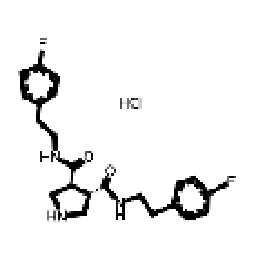 Cl.O=C(NCCc1ccc(F)cc1)[C@@H]1CNC[C@H]1C(=O)NCCc1ccc(F)cc1